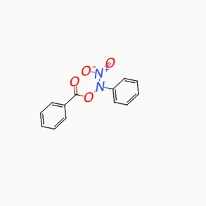 O=C(ON(c1ccccc1)[N+](=O)[O-])c1ccccc1